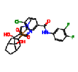 Cn1cc(C(O)[C@]2(O)C3CCC2C[C@@H](S(=O)(=O)c2cc(C(=O)Nc4ccc(F)c(F)c4)ccc2Cl)C3)cn1